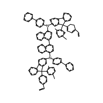 C=CC1=CC=C(C2(c3cc(C)ccc3C)c3ccccc3-c3ccc(N(c4ccc(-c5ccccc5)cc4)c4ccc(-c5ccc(N(c6ccc(-c7ccccc7)cc6)c6ccc7c(c6)C(c6ccc(C=C)cc6)(c6cc(C)ccc6C)c6ccccc6-7)c6ccccc56)c5ccccc45)cc32)CC1